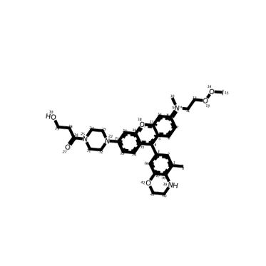 Cc1cc(-c2c3cc/c(=[N+](/C)CCOOI)cc-3oc3cc(N4CCN(C(=O)CCO)CC4)ccc23)cc2c1NCCO2